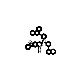 C1=Cc2cccc(-c3cccc(N(C4=Cc5cc6oc7ccccc7c6cc5NC4)c4cccc(-c5cc6ccccc6c6ccccc56)c4)c3)c2CC1